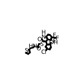 O=C(CSc1c(-c2cc(Cl)ccc2O)c2cc(C(F)(F)F)ccc2[nH]c1=O)NCCc1cccs1